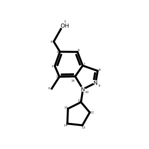 Cc1cc(CO)cc2cnn(C3CCCC3)c12